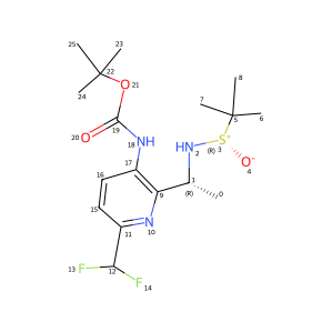 C[C@@H](N[S@@+]([O-])C(C)(C)C)c1nc(C(F)F)ccc1NC(=O)OC(C)(C)C